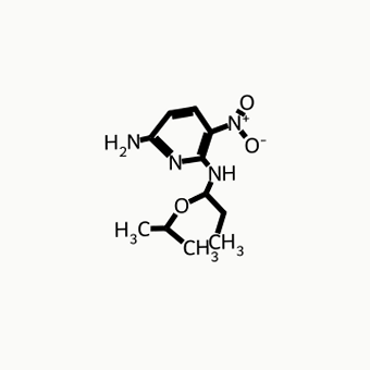 CCC(Nc1nc(N)ccc1[N+](=O)[O-])OC(C)C